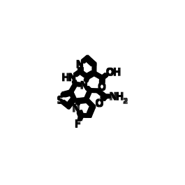 NC(=O)CC(c1ccc(F)nc1)N1c2c(C(=O)O)ccnc2NC1c1ccsc1